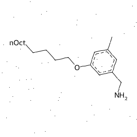 CCCCCCCCCCCCOc1cc(C)cc(CN)c1